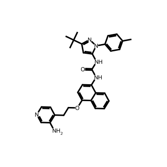 Cc1ccc(-n2nc(C(C)(C)C)cc2NC(=O)Nc2ccc(OCCc3ccncc3N)c3ccccc23)cc1